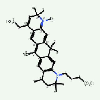 CCOC(=O)CCCN1c2cc3c(cc2C(C)CC1(C)C)C(C#N)=c1cc2c(cc1C3(C)C)=[N+](CC)C(C)(C)C=C2CS(=O)(=O)O